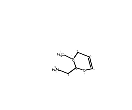 CN1CC=COC1CN